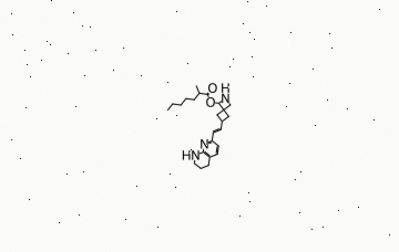 CCCCCC(C)C(=O)OC1NCC12CC(C=Cc1ccc3c(n1)NCCC3)C2